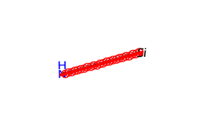 CNCCOCCOCCOCCOCCOCCOCCOCCOCCOCCOCCOCCOCCOCCOCCOCCOCCOCCOCCOCCOCCOCCOCCOCCO[Si](C)(C)C(C)(C)C